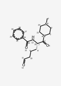 CN1CCN(C(=O)[C@H](CCCC=O)NC(=O)c2ccccc2)CC1